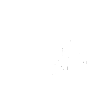 Cn1c(C(=O)Nc2ccc(Cl)cc2-c2noc(=O)[nH]2)cc2ccc(OCc3ccccc3)cc21